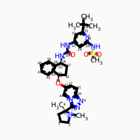 CN1CCC[C@@]1(C)c1nnc2ccc(O[C@@H]3CC[C@H](NC(=O)Nc4cc(NS(C)(=O)=O)nc(C(C)(C)C)c4)c4ccccc43)cn12